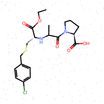 CCOC(=O)[C@@H](CSCc1ccc(Cl)cc1)NC(C)C(=O)N1CCC[C@H]1C(=O)O